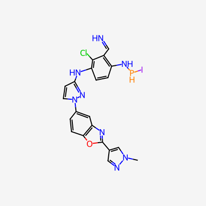 Cn1cc(-c2nc3cc(-n4ccc(Nc5ccc(NPI)c(C=N)c5Cl)n4)ccc3o2)cn1